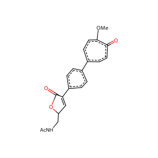 COc1ccc(-c2ccc(C3=CC(CNC(C)=O)OC3=O)cc2)ccc1=O